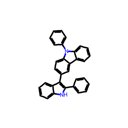 c1ccc(-c2[nH]c3ccccc3c2-c2ccc3c(c2)c2ccccc2n3-c2ccccc2)cc1